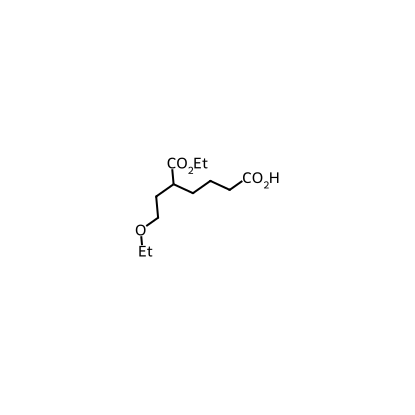 CCOCCC(CCCC(=O)O)C(=O)OCC